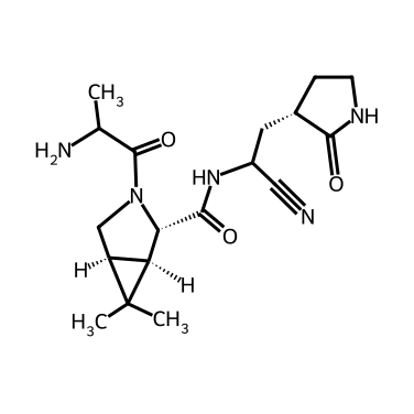 CC(N)C(=O)N1C[C@H]2[C@@H]([C@H]1C(=O)NC(C#N)C[C@@H]1CCNC1=O)C2(C)C